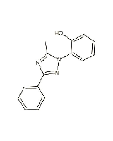 Cc1nc(-c2ccccc2)nn1-c1ccccc1O